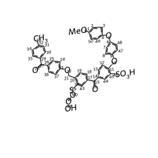 COc1ccc(Oc2ccc(Oc3ccc(C(=O)c4ccc(COc5ccc(C(=O)c6ccc(C)cc6)cc5)c(SOOO)c4)cc3S(=O)(=O)O)cc2)cc1